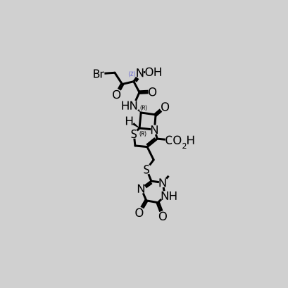 Cn1[nH]c(=O)c(=O)nc1SCC1=C(C(=O)O)N2C(=O)[C@@H](NC(=O)/C(=N\O)C(=O)CBr)[C@H]2SC1